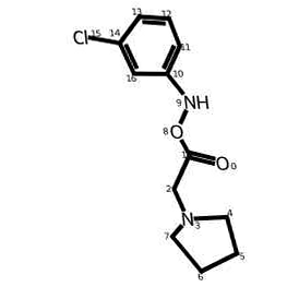 O=C(CN1CCCC1)ONc1cccc(Cl)c1